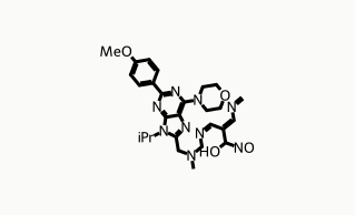 C=N/C=C(\C=N/CN(C)Cc1nc2c(N3CCOCC3)nc(-c3ccc(OC)cc3)nc2n1C(C)C)C(O)N=O